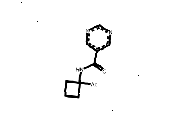 CC(=O)C1(NC(=O)c2cncnc2)CCC1